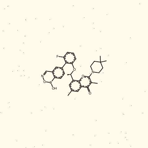 Cc1cc([C@@H](C)Oc2cccc(F)c2-c2ccc3c(c2)C=NOB3O)c2oc(N3CCC(C)(C)CC3)c(C)c(=O)c2c1